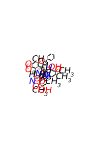 COc1cc2c(cc1O)CCN[C@]21CS[C@@H]2c3c(OCc4ccccc4)c(C)c4c(c3[C@H](COC1=O)N1C2[C@H]2c3c(cc(C)c(OC)c3O)C3(C)[C@@H]([C@@H]1C#N)N23)OCO4